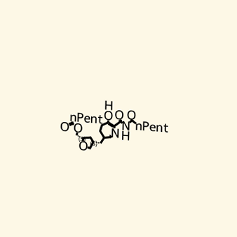 CCCCCC(=O)NC(=O)C1=C(O)CCC(C[C@@H]2CO[C@H](COC(=O)CCCCC)C2)C=N1